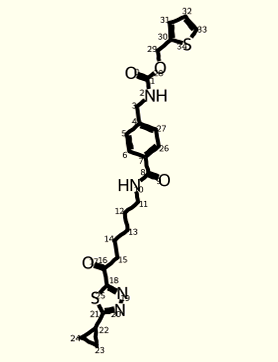 O=C(NCc1ccc(C(=O)NCCCCCC(=O)c2nnc(C3CC3)s2)cc1)OCc1cccs1